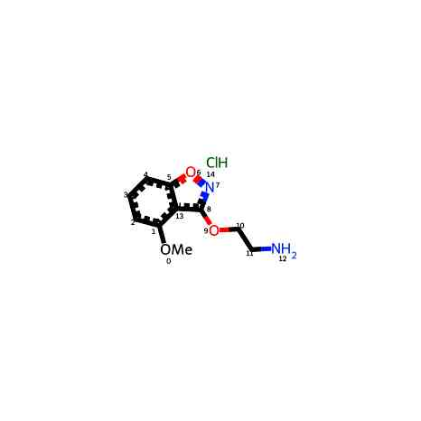 COc1cccc2onc(OCCN)c12.Cl